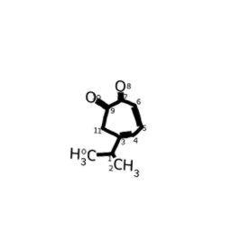 CC(C)C1=CC=CC(=O)C(=O)C1